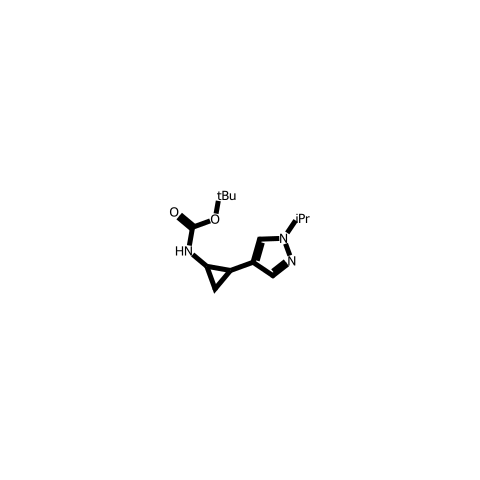 CC(C)n1cc(C2CC2NC(=O)OC(C)(C)C)cn1